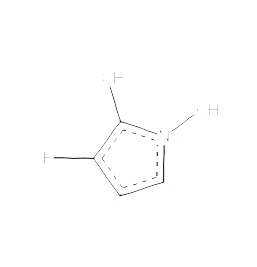 Cc1c(F)ccn1C